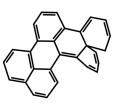 C1=CCC23C=CC=CC2=c2c4cccc5cccc(c6cccc(c26)C3=C1)c54